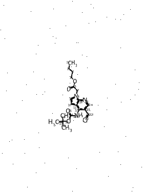 CCCCOC(=O)Cn1ccc2c(NC(=O)OC(C)(C)C)c(C=O)cnc21